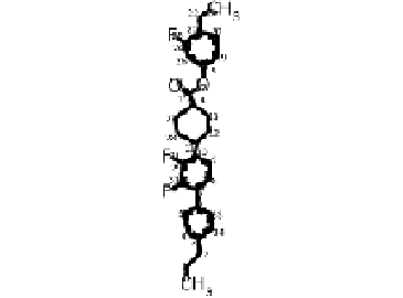 CCCc1ccc(-c2ccc(C3CCC(C(=O)Oc4ccc(CC)c(F)c4)CC3)c(F)c2F)cc1